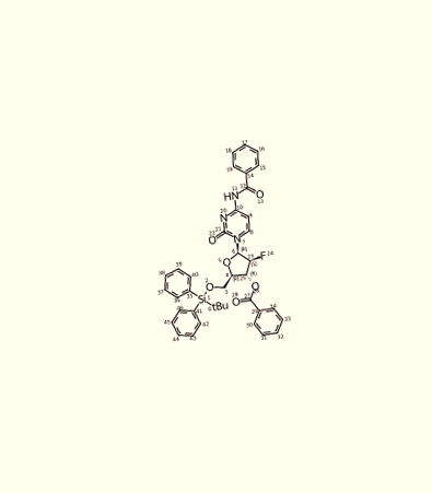 CC(C)(C)[Si](OC[C@H]1O[C@@H](n2ccc(NC(=O)c3ccccc3)nc2=O)[C@@H](F)[C@@H]1OC(=O)c1ccccc1)(c1ccccc1)c1ccccc1